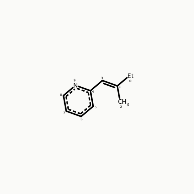 CC/C(C)=C/c1ccccn1